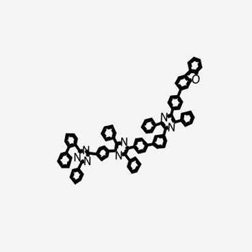 c1ccc(-c2nc(-c3ccc(-c4nc(-c5ccccc5)c(-c5ccc(-c6cccc(-c7nc(-c8ccccc8)c(-c8ccc(-c9ccc%10c(c9)oc9ccccc9%10)cc8)nc7-c7ccccc7)c6)cc5)nc4-c4ccccc4)cc3)nc(-c3ccccc3-c3ccccc3)n2)cc1